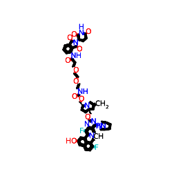 C#Cc1c(F)ccc2cc(O)cc(-c3ncc4c(N5CC6CCC(C5)N6)nc(OC[C@@]56CC[C@@H](COC(=O)NCCOCCOCCC(=O)Nc7cccc8c7C(=O)N(C7CCC(=O)NC7=O)C8=O)N5CC(=C)C6)nc4c3F)c12